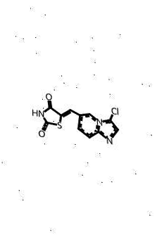 O=C1NC(=O)/C(=C/c2ccc3ncc(Cl)n3c2)S1